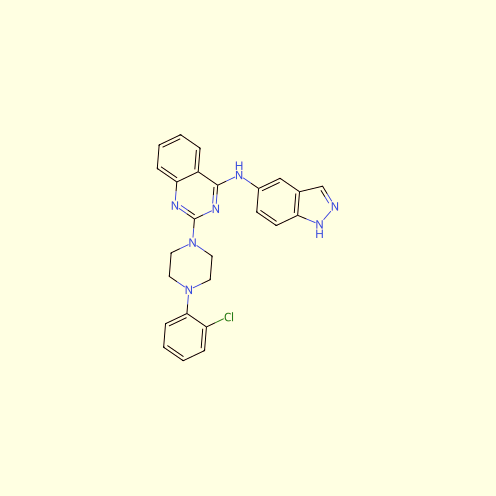 Clc1ccccc1N1CCN(c2nc(Nc3ccc4[nH]ncc4c3)c3ccccc3n2)CC1